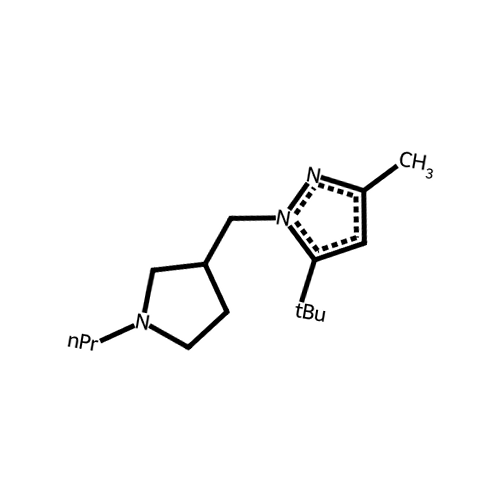 CCCN1CCC(Cn2nc(C)cc2C(C)(C)C)C1